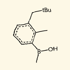 CB(O)c1cccc(CC(C)(C)C)c1C